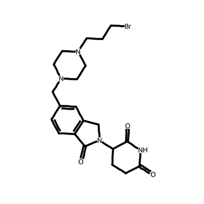 O=C1CCC(N2Cc3cc(CN4CCN(CCCBr)CC4)ccc3C2=O)C(=O)N1